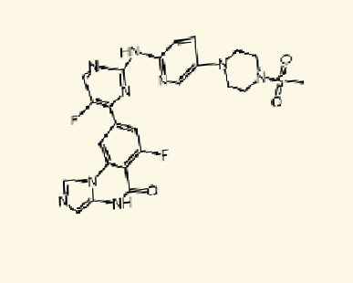 CS(=O)(=O)N1CCN(c2ccc(Nc3ncc(F)c(-c4cc(F)c5c(=O)[nH]c6cncn6c5c4)n3)nc2)CC1